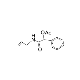 C=CCNC(=O)C(OC(C)=O)c1ccccc1